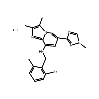 CCc1cccc(C)c1CNc1cc(-c2ncn(C)n2)cn2c(C)c(C)nc12.Cl